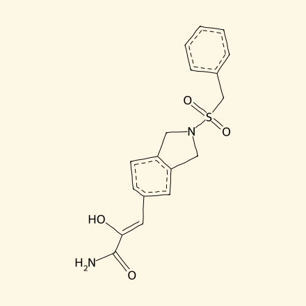 NC(=O)C(O)=Cc1ccc2c(c1)CN(S(=O)(=O)Cc1ccccc1)C2